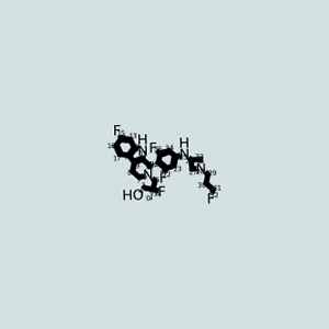 C[C@](F)(CO)CN1CCc2c([nH]c3cc(F)ccc23)[C@@H]1c1c(F)cc(NC2CN(CCCF)C2)cc1F